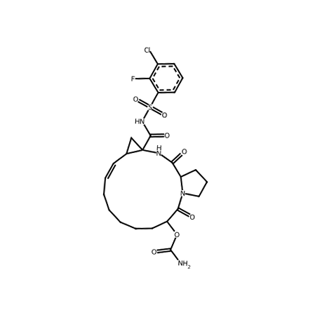 NC(=O)OC1CCCCCC=CC2CC2(C(=O)NS(=O)(=O)c2cccc(Cl)c2F)NC(=O)C2CCCN2C1=O